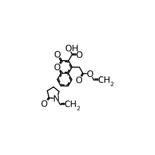 C=CN1CCCC1=O.C=COC(=O)Cc1c(C(=O)O)c(=O)oc2ccccc12